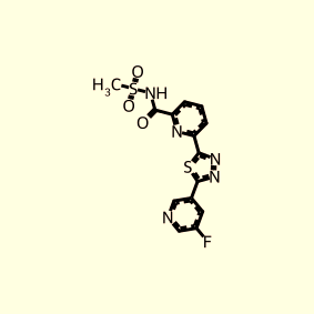 CS(=O)(=O)NC(=O)c1cccc(-c2nnc(-c3cncc(F)c3)s2)n1